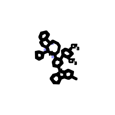 C=CC1=C(c2ccccc2)/N=C(/c2ccc(-n3c4ccccc4c4cc(C)ccc43)cc2-c2ccc(C(F)(F)F)cc2C(F)(F)F)CCC/C=C\1c1ccccc1